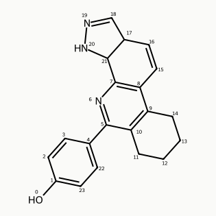 Oc1ccc(-c2nc3c(c4c2CCCC4)C=CC2C=NNC32)cc1